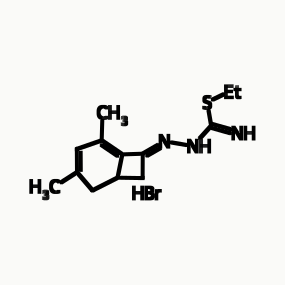 Br.CCSC(=N)NN=C1CC2CC(C)=CC(C)=C12